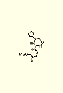 COc1nc(C2=NOCC(C3CCCC3)N2)ccc1Br